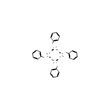 FP1(Oc2ccccc2)=NP(F)(Oc2ccccc2)=NP(F)(Oc2ccccc2)=NP(F)(Oc2ccccc2)=N1